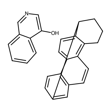 Oc1cncc2ccccc12.c1cc2c3ccc4c5c(ccc42)C(CCC5)c1c3